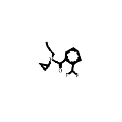 CCCN(C(=O)c1ccccc1C(F)F)C1CC1